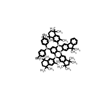 Cc1cc2c(cc1N1c3cc4c(cc3B3c5cc6c(cc5N(c5cc7c(cc5C)C(C)(C)CCC7(C)C)c5cc(N(c7ccc(C(C)(C)C)cc7)c7ccc(C(C)(C)C)cc7)cc1c53)C(C)(C)CC6(C)C)C(C)(C)c1ccccc1-4)C(C)(C)CCC2(C)C